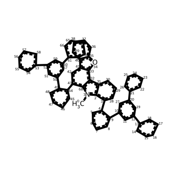 Cn1c2c(-c3ccccc3-c3cc(-c4ccccc4)cc(-c4ccccc4)c3)cccc2c2c3oc4ccccc4c3cc(-c3ccccc3-c3cc(-c4ccccc4)cc(-c4ccccc4)c3)c21